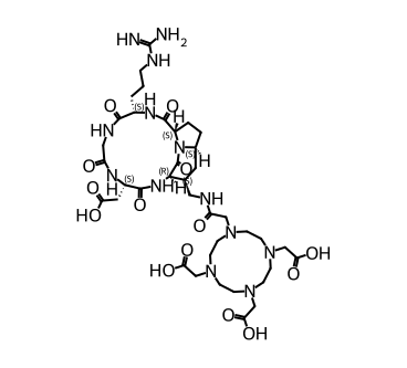 N=C(N)NCCC[C@@H]1NC(=O)[C@@H]2CC[C@H]3C[C@@H](CNC(=O)CN4CCN(CC(=O)O)CCN(CC(=O)O)CCN(CC(=O)O)CC4)[C@@H](NC(=O)[C@H](CC(=O)O)NC(=O)CNC1=O)C(=O)N32